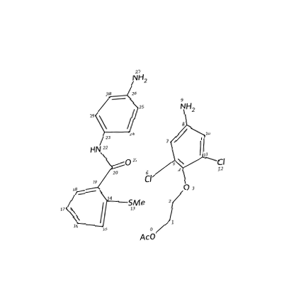 CC(=O)OCCOc1c(Cl)cc(N)cc1Cl.CSc1ccccc1C(=O)Nc1ccc(N)cc1